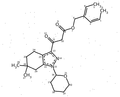 C/C=C\C(=C/C)COC(=O)CC(=O)c1nn(C2CCCCO2)c2c1CCC(C)(C)C2